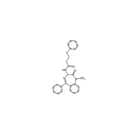 CN1C(=O)C(NC(=O)CCSc2ccccc2)N=C(c2ccccc2)c2ccccc21